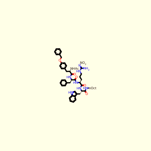 CCCCCCCCNC(=O)[C@H](Cc1c[nH]c2ccccc12)NC(=O)[C@H](CCCN/C(N)=N/[N+](=O)[O-])NC(=O)[C@@H](Cc1ccccc1)NC(=O)[C@H](Cc1ccc(OCc2ccccc2)cc1)NC(C)=O